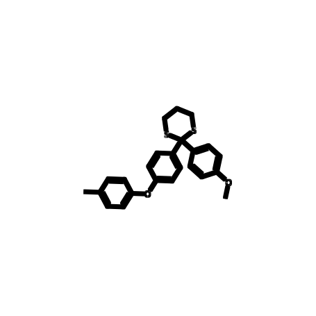 COc1ccc(C2(c3ccc(Oc4ccc(C)cc4)cc3)SCCCS2)cc1